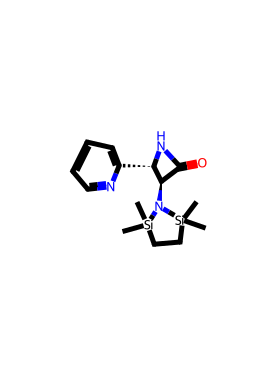 C[Si]1(C)CC[Si](C)(C)N1[C@@H]1C(=O)N[C@H]1c1ccccn1